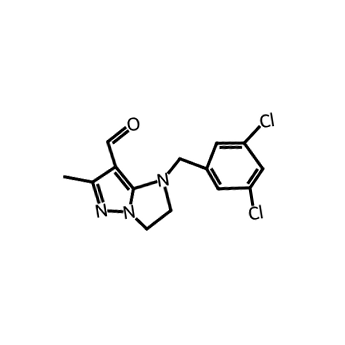 Cc1nn2c(c1C=O)N(Cc1cc(Cl)cc(Cl)c1)CC2